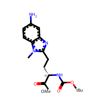 COC(=O)[C@H](CCc1nc2cc(N)ccc2n1C)NC(=O)OC(C)(C)C